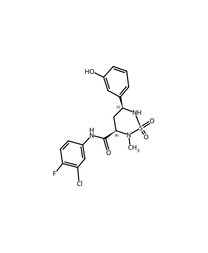 CN1[C@@H](C(=O)Nc2ccc(F)c(Cl)c2)C[C@@H](c2cccc(O)c2)NS1(=O)=O